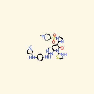 CN1CCC(S(=O)(=O)n2ccnc2-c2cc3cnc(Nc4ccc(NC5CCN(C)C5)cc4)nc3n(C3NC=CS3)c2=O)CC1